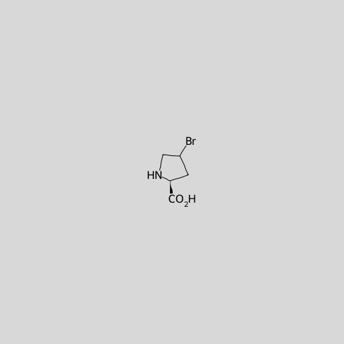 O=C(O)[C@@H]1CC(Br)CN1